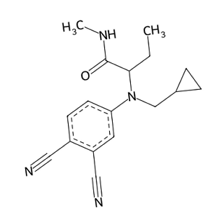 CCC(C(=O)NC)N(CC1CC1)c1ccc(C#N)c(C#N)c1